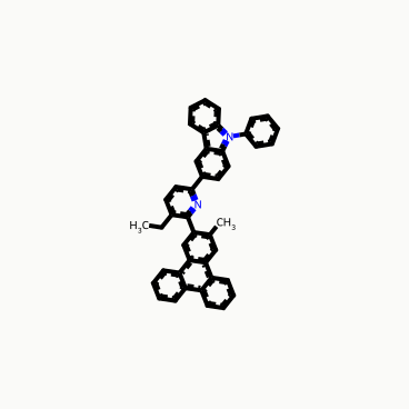 CCc1ccc(-c2ccc3c(c2)c2ccccc2n3-c2ccccc2)nc1-c1cc2c3ccccc3c3ccccc3c2cc1C